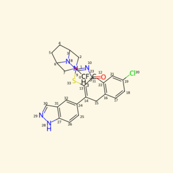 CN1CC2CCC(C1)N2C1=NC(=O)C(=C(Cc2ccc(Cl)cc2C(F)(F)F)c2ccc3[nH]ncc3c2)S1